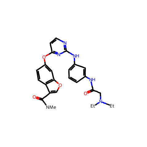 CCN(CC)CC(=O)Nc1cccc(Nc2nccc(Oc3ccc4c(C(=O)NC)coc4c3)n2)c1